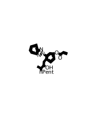 C=CC(=O)Oc1ccc(CC(O)C(C)CCCCC)c(-n2nc3ccccc3n2)c1